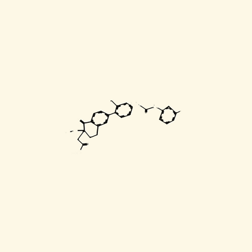 CCC1(CC(=O)O)CCc2cc(-c3ccc(NC(=O)Nc4cccc(Cl)c4)cc3Cl)ccc2C1=O